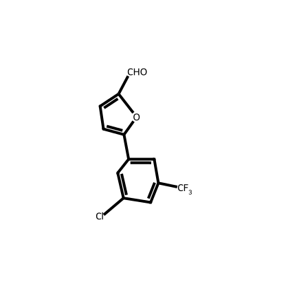 O=Cc1ccc(-c2cc(Cl)cc(C(F)(F)F)c2)o1